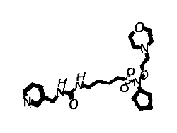 O=C(NCCCCS(=O)(=O)N(OCCN1CCOCC1)C1CCCC1)NCc1cccnc1